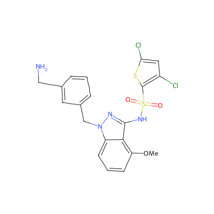 COc1cccc2c1c(NS(=O)(=O)c1sc(Cl)cc1Cl)nn2Cc1cccc(CN)c1